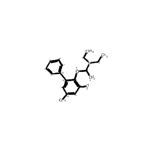 CCN(CC)C(C)Oc1c(Cl)cc(Cl)cc1-c1ccccc1